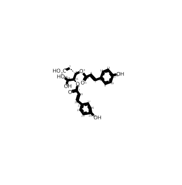 O=C(O)C[C@H](OC(=O)/C=C/c1ccc(O)cc1)[C@@H](OC(=O)/C=C/c1ccc(O)cc1)C(O)O